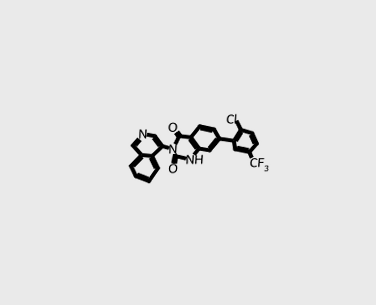 O=c1[nH]c2cc(-c3cc(C(F)(F)F)ccc3Cl)ccc2c(=O)n1-c1cncc2ccccc12